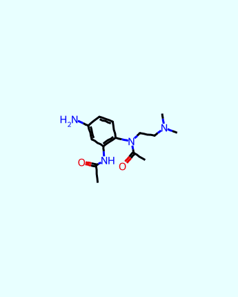 CC(=O)Nc1cc(N)ccc1N(CCN(C)C)C(C)=O